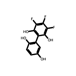 Oc1ccc(O)c(-c2c(O)c(F)c(F)c(F)c2O)c1